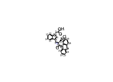 N#C/C(=C\c1cn(CC(=O)O)c2ccccc12)C(=O)N1c2ccccc2Sc2ccc(Cl)cc21